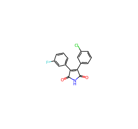 O=C1NC(=O)C(c2cccc(Cl)c2)=C1c1cccc(F)c1